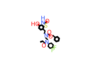 C=CC(=O)N(CCN(CCc1ccc(O)c2[nH]c(=O)sc12)C(=O)OCc1ccccc1)C1CCC(F)(F)CC1